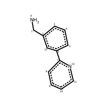 NCc1cccc(-c2cc[c]cn2)c1